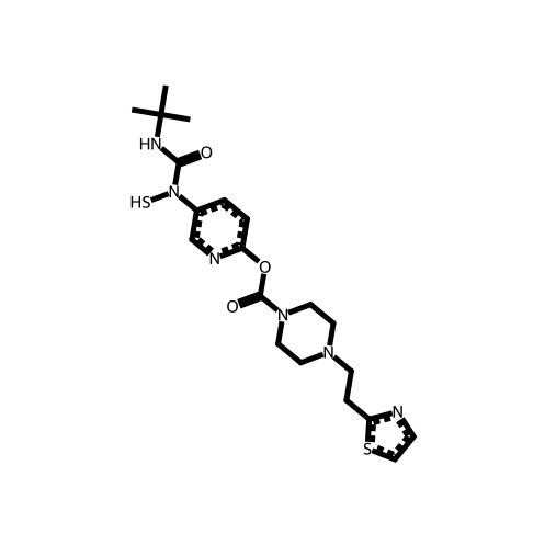 CC(C)(C)NC(=O)N(S)c1ccc(OC(=O)N2CCN(CCc3nccs3)CC2)nc1